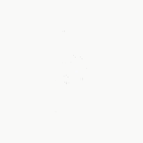 CC1=NN(c2ccc(C(C)(C)C)cc2)C(=O)/C1=C(/C)NNC(=O)c1ccc(O)cc1